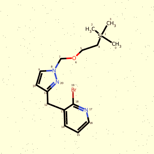 C[Si](C)(C)CCOCn1ccc(Cc2cccnc2Br)n1